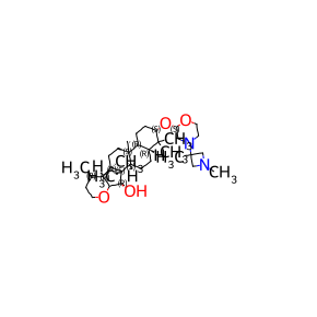 C[C@@H]1CCOC2[C@H]1[C@@]1(C)CC[C@@]34C[C@@]35CC[C@H](O[C@H]3CN(C6(C)CN(C)C6)CCO3)C(C)(C)[C@@H]5CC[C@@H]4[C@]1(C)[C@H]2O